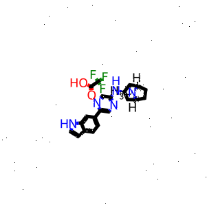 CN1[C@@H]2CC[C@H]1C[C@@H](Nc1cnc(-c3ccc4cc[nH]c4c3)cn1)C2.O=C(O)C(F)(F)F